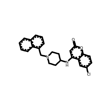 O=c1cc(NC2CCN(Cc3cccc4ccccc34)CC2)c2cc(Cl)ccc2o1